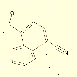 N#Cc1ccc(C[O])c2ccccc12